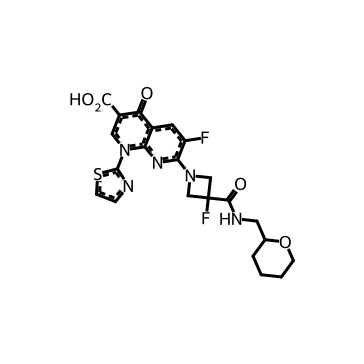 O=C(O)c1cn(-c2nccs2)c2nc(N3CC(F)(C(=O)NCC4CCCCO4)C3)c(F)cc2c1=O